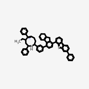 CCC1CC(c2ccccc2)NC(c2cccc(-c3ccc(-c4cccc5c4sc4cc(-c6ccccc6)ccc45)c4c3C3=C(CCC=C3)C4)c2)CC/C=C\1c1ccccc1